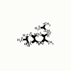 C=C(C)C(=O)O.C=C(C)C(=O)O.CC(C)C.CC(C)C